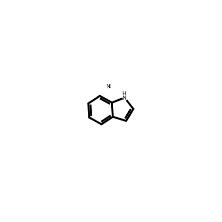 [N].c1ccc2[nH]ccc2c1